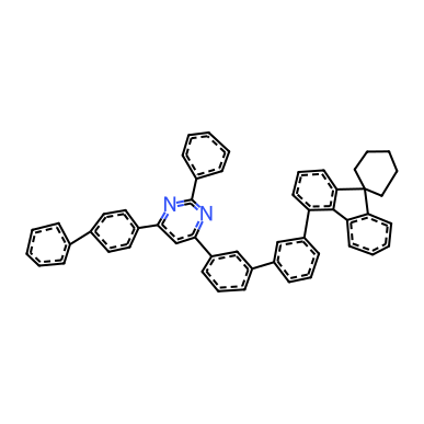 c1ccc(-c2ccc(-c3cc(-c4cccc(-c5cccc(-c6cccc7c6-c6ccccc6C76CCCCC6)c5)c4)nc(-c4ccccc4)n3)cc2)cc1